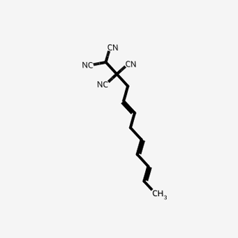 C/C=C/C=C/C/C=C/CC(C#N)(C#N)C(C#N)C#N